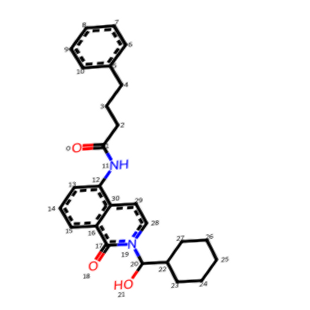 O=C(CCCc1ccccc1)Nc1cccc2c(=O)n(C(O)C3CCCCC3)ccc12